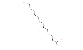 CCCCCCCCCCCCCCCCCCCCCCC(O)C(=O)O.[KH]